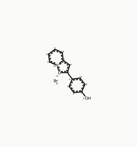 Oc1ccc(-c2cc3cccc[n+]3o2)cc1.[Br-]